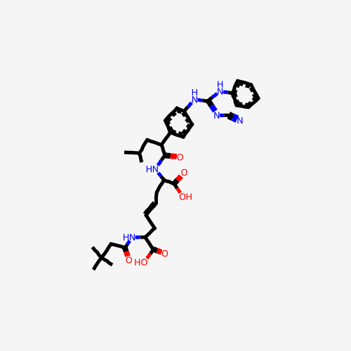 CC(C)CC(C(=O)NC(CC=CCC(NC(=O)CC(C)(C)C)C(=O)O)C(=O)O)c1ccc(NC(=NC#N)Nc2ccccc2)cc1